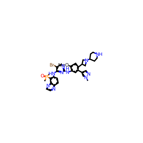 COc1cc(C2CN(C3CCNCC3)C2)c(-c2cnn(C)c2)cc1Nc1ncc(Br)c(Nc2ccc3nccnc3c2P(C)(C)=O)n1